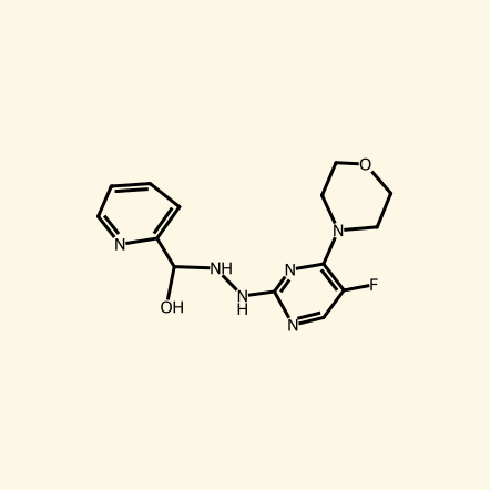 OC(NNc1ncc(F)c(N2CCOCC2)n1)c1ccccn1